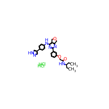 CCC(CC)NC(=O)COc1cccc(-c2nc3c(c(Nc4ccc(-c5cn[nH]c5)cc4)n2)COC3)c1.Cl.Cl